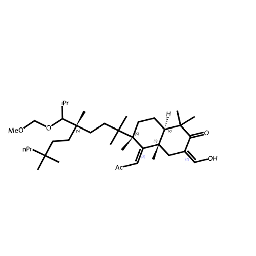 CCCC(C)(C)CC[C@@](C)(CCC(C)(C)[C@]1(C)CC[C@H]2C(C)(C)C(=O)/C(=C\O)C[C@]2(C)/C1=C/C(C)=O)C(OCOC)C(C)C